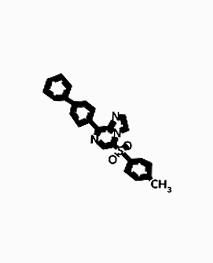 Cc1ccc(S(=O)(=O)c2cnc(-c3ccc(-c4ccccc4)cc3)c3nccn23)cc1